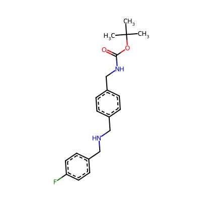 CC(C)(C)OC(=O)NCc1ccc(CNCc2ccc(F)cc2)cc1